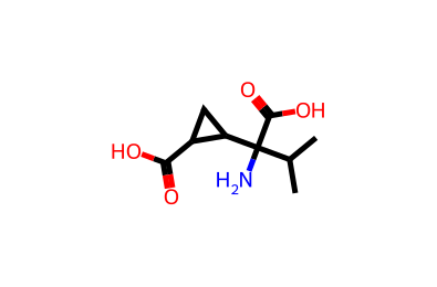 CC(C)C(N)(C(=O)O)C1CC1C(=O)O